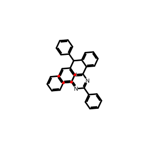 c1ccc(-c2nc(-c3ccccc3)nc(-c3ccccc3C(c3ccccc3)c3ccccc3)n2)cc1